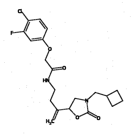 C=C(CCNC(=O)COc1ccc(Cl)c(F)c1)C1CN(CC2CCC2)C(=O)O1